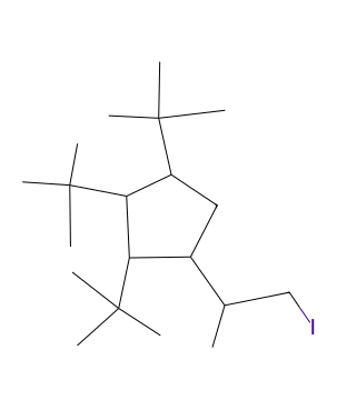 CC(CI)C1CC(C(C)(C)C)C(C(C)(C)C)C1C(C)(C)C